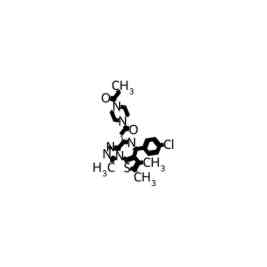 CCC(=O)N1CCN(C(=O)C[C@@H]2N=C(c3ccc(Cl)cc3)c3c(sc(C)c3C)-n3c(C)nnc32)CC1